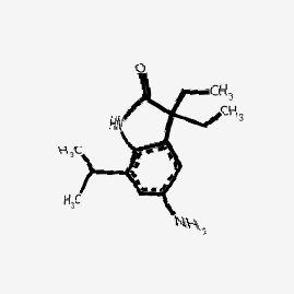 CCC1(CC)C(=O)Nc2c(C(C)C)cc(N)cc21